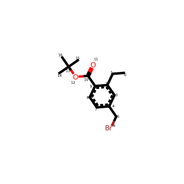 CCc1cc(CBr)ccc1C(=O)OC(C)(C)C